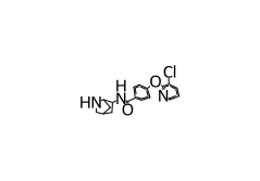 O=C(NC1CC2CNC1C2)c1ccc(Oc2ncccc2Cl)cc1